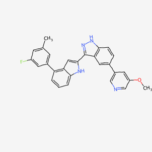 COc1cncc(-c2ccc3[nH]nc(-c4cc5c(-c6cc(C)cc(F)c6)cccc5[nH]4)c3c2)c1